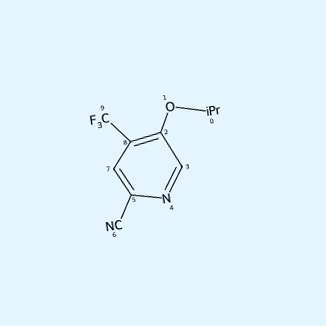 CC(C)Oc1cnc(C#N)cc1C(F)(F)F